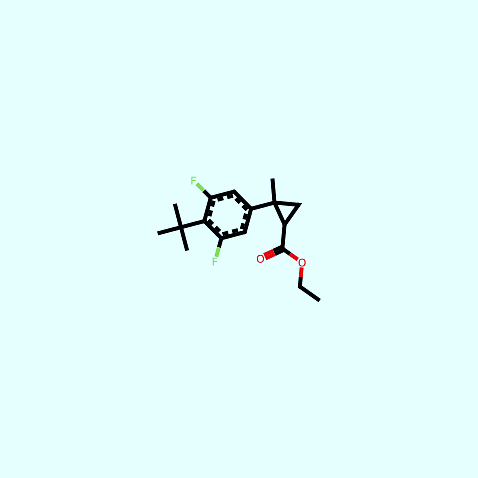 CCOC(=O)C1CC1(C)c1cc(F)c(C(C)(C)C)c(F)c1